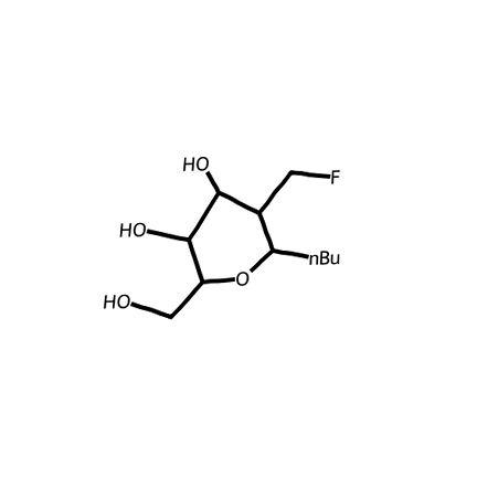 CCCCC1OC(CO)C(O)C(O)C1CF